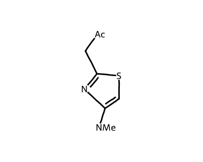 CNc1csc(CC(C)=O)n1